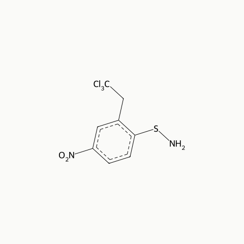 NSc1ccc([N+](=O)[O-])cc1CC(Cl)(Cl)Cl